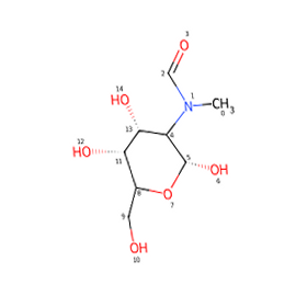 CN(C=O)C1[C@H](O)OC(CO)[C@H](O)[C@@H]1O